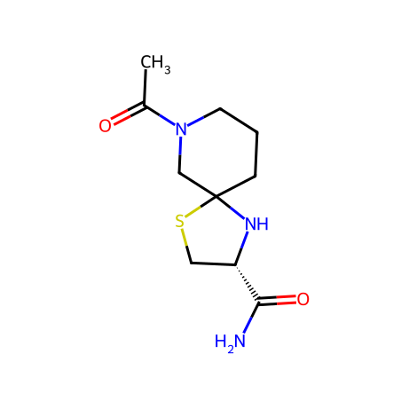 CC(=O)N1CCCC2(C1)N[C@H](C(N)=O)CS2